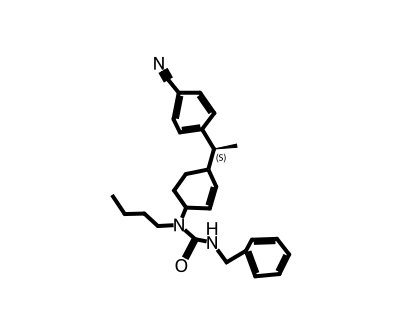 CCCCN(C(=O)NCc1ccccc1)C1C=CC([C@H](C)c2ccc(C#N)cc2)CC1